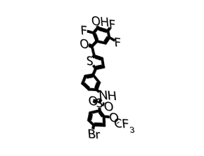 O=C(c1ccc(-c2cccc(NS(=O)(=O)c3ccc(Br)cc3OC(F)(F)F)c2)s1)c1cc(F)c(F)c(O)c1F